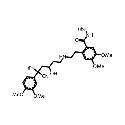 CCCCNC(=O)c1cc(OC)c(OC)cc1CCNCCC(O)CC(C#N)(c1ccc(OC)c(OC)c1)C(C)C